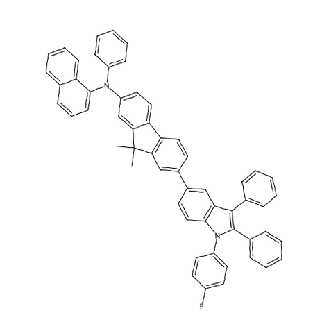 CC1(C)c2cc(-c3ccc4c(c3)c(-c3ccccc3)c(-c3ccccc3)n4-c3ccc(F)cc3)ccc2-c2ccc(N(c3ccccc3)c3cccc4ccccc34)cc21